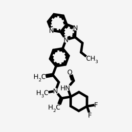 C=C(CN(C)C(=C)C1(NC=O)CCC(F)(F)CC1)c1ccc(-n2c(CCC)nc3cccnc32)cc1